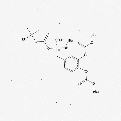 CCCCOC(=O)Oc1ccc(C[C@](NC(C)CC)(OC(=O)OC(C)(C)CC)C(=O)O)cc1OC(=O)OCCCC